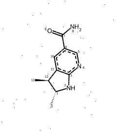 C[C@H]1Nc2ncc(C(N)=O)cc2[C@@H]1C